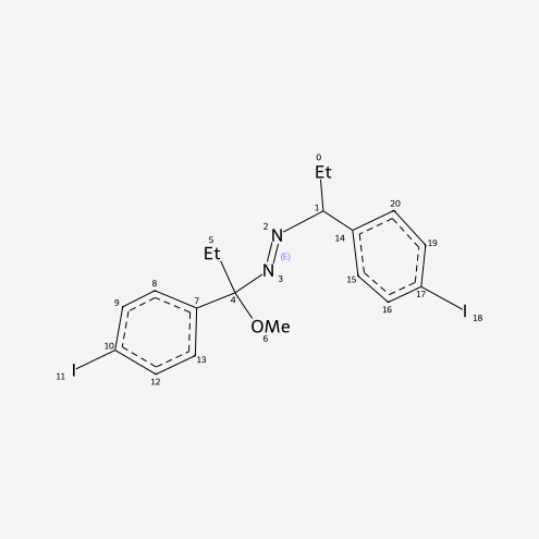 CCC(/N=N/C(CC)(OC)c1ccc(I)cc1)c1ccc(I)cc1